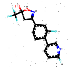 OC1(C(F)(F)F)CC(c2ccc(-c3ccc(F)nc3)c(F)c2)=NO1